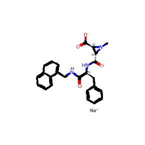 CN1[C@H](C(=O)[O-])[C@H]1C(=O)N[C@@H](Cc1ccccc1)C(=O)NCc1cccc2ccccc12.[Na+]